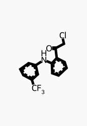 O=C(CCl)c1ccccc1Nc1cccc(C(F)(F)F)c1